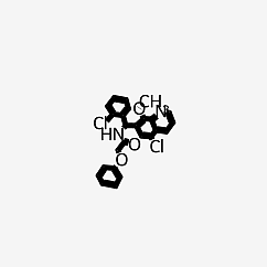 COc1c(C(NC(=O)COc2ccccc2)c2ccccc2Cl)cc(Cl)c2cccnc12